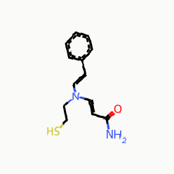 NC(=O)C=CN(C=Cc1ccccc1)CCS